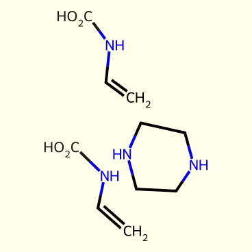 C1CNCCN1.C=CNC(=O)O.C=CNC(=O)O